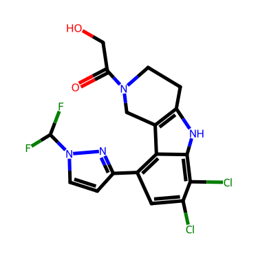 O=C(CO)N1CCc2[nH]c3c(Cl)c(Cl)cc(-c4ccn(C(F)F)n4)c3c2C1